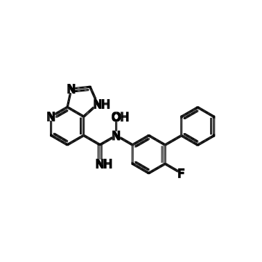 N=C(c1ccnc2nc[nH]c12)N(O)c1ccc(F)c(-c2ccccc2)c1